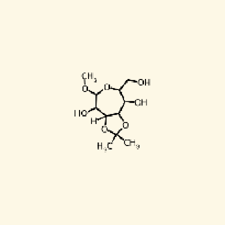 COC1OC(CO)[C@@H](O)C2OC(C)(C)O[C@@H]2C1O